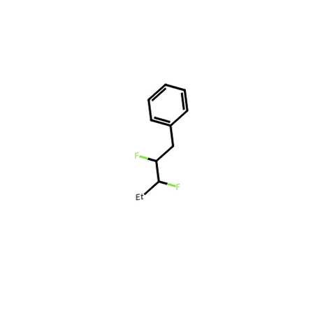 CCC(F)C(F)Cc1ccccc1